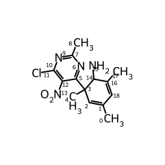 CC1=CC(C)(c2nc(C)nc(Cl)c2[N+](=O)[O-])C(N)C(C)=C1